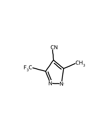 CC1=C(C#N)C(C(F)(F)F)=N[N]1